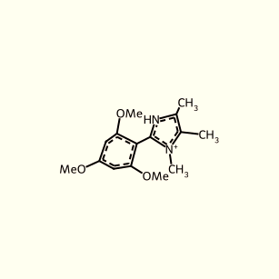 COc1cc(OC)c(-c2[nH]c(C)c(C)[n+]2C)c(OC)c1